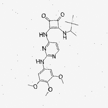 COc1cc(Nc2nccc(Nc3c(NC(C)C(C)(C)C)c(=O)c3=O)n2)cc(OC)c1OC